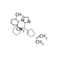 C=C(C)[C@@H]1CC=C(C(c2nccn2-c2c(C)cccc2C)N2CCCCC2)CC1